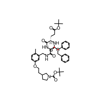 Cc1ccc(OCCC2CCN(C(=O)OC(C)(C)C)C2)cc1CNC(=O)[C@H](CCc1ccccc1)NC(=O)[C@H](CCC(=O)OC(C)(C)C)NC(=O)OCc1ccccc1